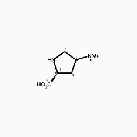 CNC1CN[C@H](C(=O)O)C1